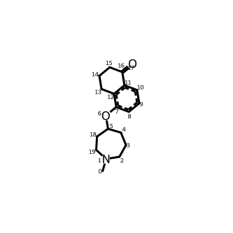 CN1CCCC(Oc2cccc3c2CCCC3=O)CC1